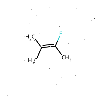 [CH2]C(C)=C(C)F